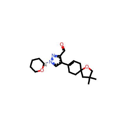 CC1(C)COC2(CC=C(c3cn([C@H]4CCCCO4)nc3C=O)CC2)C1